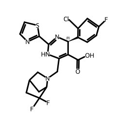 O=C(O)C1=C(CN2CC3CC2C(F)(F)C3)NC(c2nccs2)=N[C@H]1c1ccc(F)cc1Cl